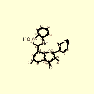 C#C/C=C\C(=N/C)c1oc2c(C(C)Nc3ccccc3C(=O)O)cc(C)cc2c(=O)c1C